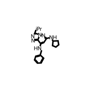 CC(C)c1nnc2c(NCc3ccccc3)cc(NC3CCCC3)nn12